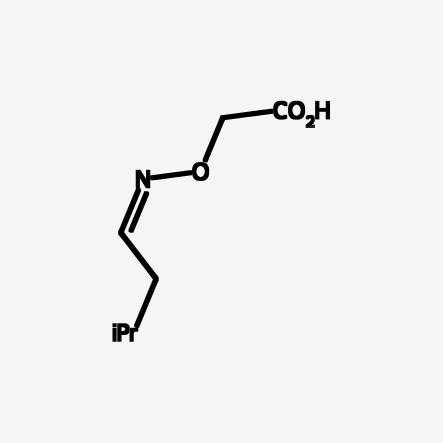 CC(C)C/C=N\OCC(=O)O